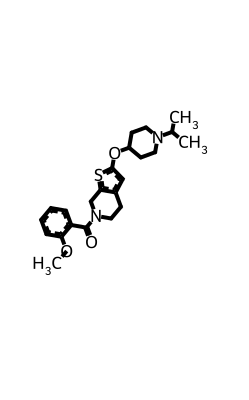 COc1ccccc1C(=O)N1CCc2cc(OC3CCN(C(C)C)CC3)sc2C1